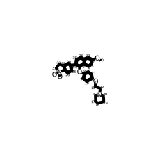 COc1ccc2c(Oc3ccc(OCCN4CCCCC4)cc3)c(-c3ccc4c(c3)CCS4(=O)=O)ccc2c1